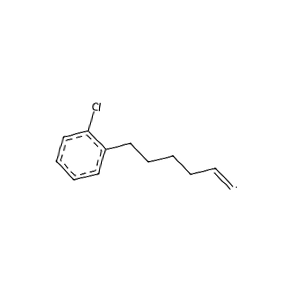 [CH]=CCCCCc1ccccc1Cl